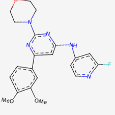 COc1ccc(-c2cc(Nc3ccnc(F)c3)nc(N3CCOCC3)n2)cc1OC